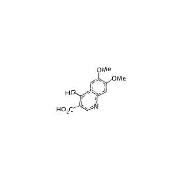 COc1cc2ncc(C(=O)O)c(O)c2cc1OC